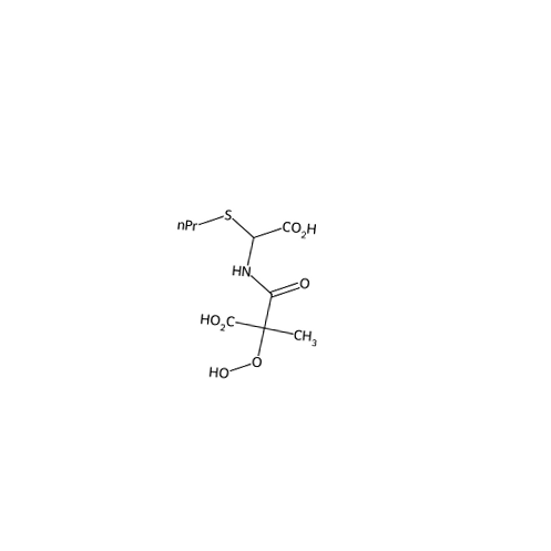 CCCSC(NC(=O)C(C)(OO)C(=O)O)C(=O)O